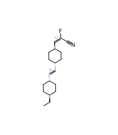 CC[C@H]1CC[C@H](/C=C/[C@H]2CC[C@H](/C=C(/F)C#N)CC2)CC1